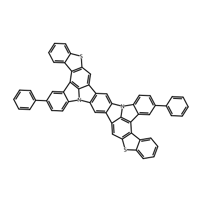 c1ccc(-c2ccc3c(c2)c2c4c(cc5c6cc7c(cc6n3c52)c2cc3sc5ccccc5c3c3c5cc(-c6ccccc6)ccc5n7c23)sc2ccccc24)cc1